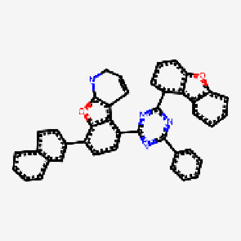 C1=Cc2c(oc3c(-c4ccc5ccccc5c4)ccc(-c4nc(-c5ccccc5)nc(-c5cccc6oc7ccccc7c56)n4)c23)NC1